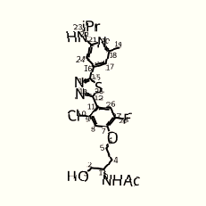 CC(=O)N[C@@H](CO)CCOc1cc(Cl)c(-c2nnc(-c3cc(C)nc(NC(C)C)c3)s2)cc1F